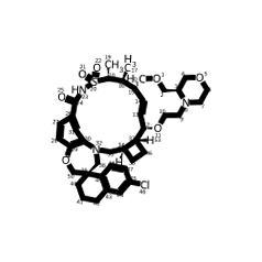 COC[C@H]1COCCN1CCO[C@H]1/C=C/C[C@H](C)[C@@H](C)S(=O)(=O)NC(=O)c2ccc3c(c2)N(C[C@@H]2CC[C@H]21)C[C@@]1(CCCc2cc(Cl)ccc21)CO3